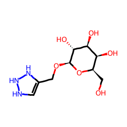 OC[C@H]1O[C@@H](OCC2=CNNN2)[C@H](O)[C@@H](O)[C@H]1O